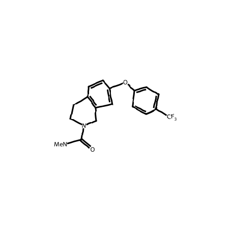 CNC(=O)N1CCc2ccc(Oc3ccc(C(F)(F)F)cc3)cc2C1